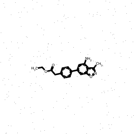 CCOC(=O)Cc1ccc(-c2cc(N)c3c(C)noc3c2)cc1